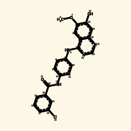 COc1cc2c(Nc3ccc(NC(=O)c4cccc(Cl)c4)nc3)ncnc2cc1O